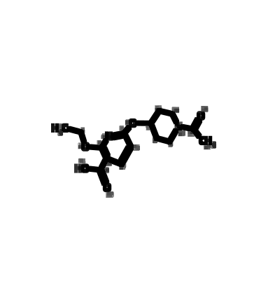 CCOc1nc(OC2CCN(C(C)=O)CC2)ccc1C(=O)O